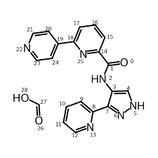 O=C(Nc1c[nH]nc1-c1ccccn1)c1cccc(-c2ccncc2)n1.O=CO